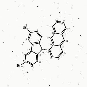 Brc1ccc2c(c1)c1cc(Br)ccc1n2-c1cccc2cc3ccccc3cc12